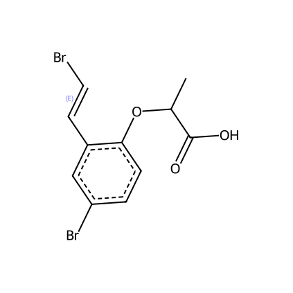 CC(Oc1ccc(Br)cc1/C=C/Br)C(=O)O